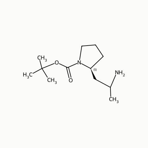 CC(N)C[C@@H]1CCCN1C(=O)OC(C)(C)C